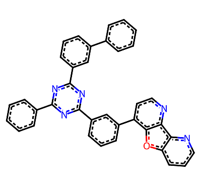 c1ccc(-c2cccc(-c3nc(-c4ccccc4)nc(-c4cccc(-c5ccnc6c5oc5cccnc56)c4)n3)c2)cc1